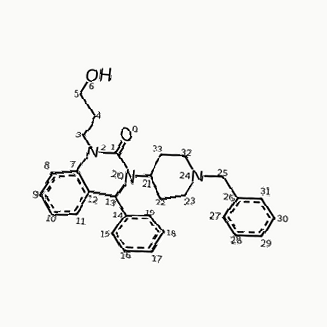 O=C1N(CCCO)c2ccccc2C(c2ccccc2)N1C1CCN(Cc2ccccc2)CC1